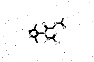 CC(=O)OCC(=O)N(c1c(C)csc1C)[C@@H](C)C(=O)O